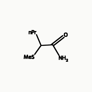 CCCC(SC)C(N)=O